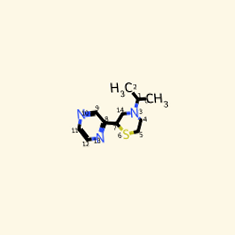 CC(C)N1CCSC(c2cnccn2)C1